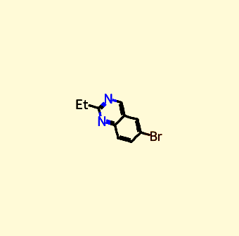 CCc1ncc2cc(Br)ccc2n1